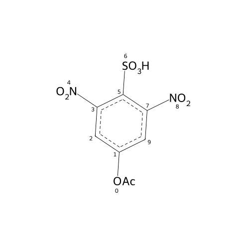 CC(=O)Oc1cc([N+](=O)[O-])c(S(=O)(=O)O)c([N+](=O)[O-])c1